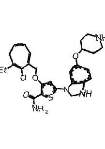 CCC1=C(Cl)C(COc2cc(N3CNc4ccc(OC5CCNCC5)cc43)sc2C(N)=O)=CC=CC1